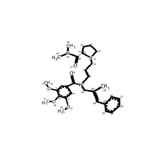 COc1cc(C(=O)N(CCCN2CCC[C@H]2C(=O)N(C)C)CC(C)=Cc2ccccc2)cc(OC)c1OC